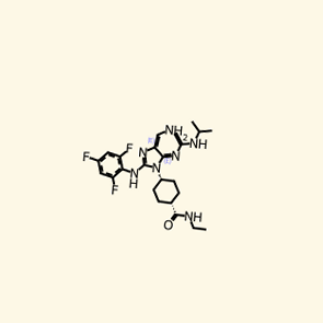 C=C(/N=C1\C(=C/N)N=C(Nc2c(F)cc(F)cc2F)N1[C@H]1CC[C@@H](C(=O)NCC)CC1)NC(C)C